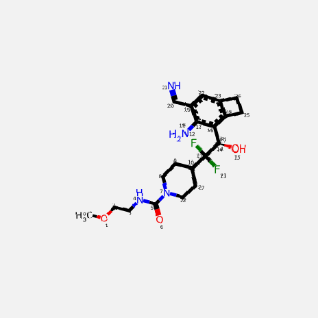 COCCNC(=O)N1CCC(C(F)(F)[C@H](O)c2c(N)c(C=N)cc3c2CC3)CC1